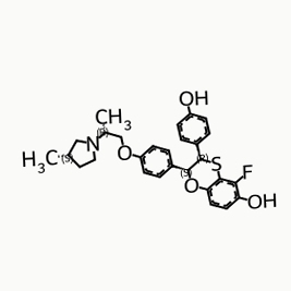 C[C@H]1CCN([C@H](C)COc2ccc([C@@H]3Oc4ccc(O)c(F)c4S[C@@H]3c3ccc(O)cc3)cc2)C1